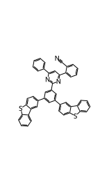 N#Cc1ccccc1-c1cc(-c2ccccc2)nc(-c2cc(-c3ccc4sc5ccccc5c4c3)cc(-c3ccc4sc5ccccc5c4c3)c2)n1